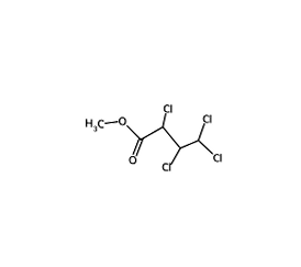 COC(=O)C(Cl)C(Cl)C(Cl)Cl